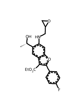 CCOC(=O)c1c(-c2ccc(F)cc2)oc2cc(NCC3CO3)c([C@H](C)O)cc12